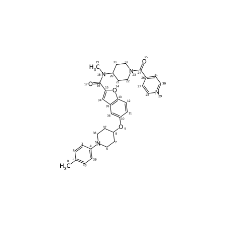 Cc1ccc(N2CCC(Oc3ccc4oc(C(=O)N(C)C5CCN(C(=O)c6ccncc6)CC5)cc4c3)CC2)cc1